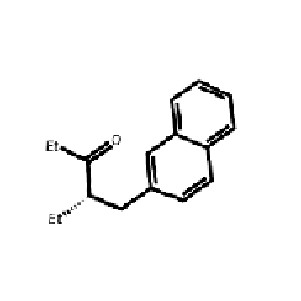 CCC(=O)[C@@H](CC)Cc1ccc2ccccc2c1